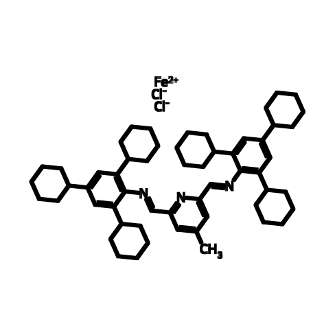 Cc1cc(C=Nc2c(C3CCCCC3)cc(C3CCCCC3)cc2C2CCCCC2)nc(C=Nc2c(C3CCCCC3)cc(C3CCCCC3)cc2C2CCCCC2)c1.[Cl-].[Cl-].[Fe+2]